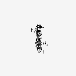 C=C(c1ccccc1)c1csc(N2CCC(S(=O)(=O)c3cnc(C)nc3C)CC2)n1